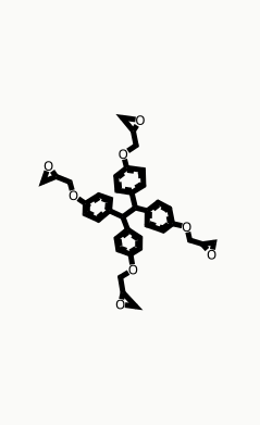 c1cc(C(c2ccc(OCC3CO3)cc2)C(c2ccc(OCC3CO3)cc2)c2ccc(OCC3CO3)cc2)ccc1OCC1CO1